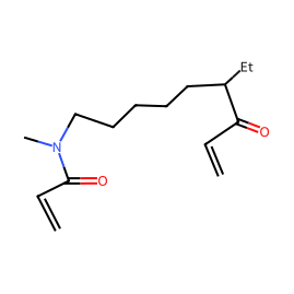 C=CC(=O)C(CC)CCCCCN(C)C(=O)C=C